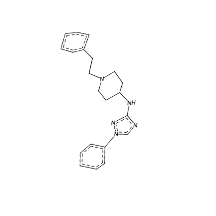 c1ccc(CCN2CCC(Nc3ncn(-c4ccccc4)n3)CC2)cc1